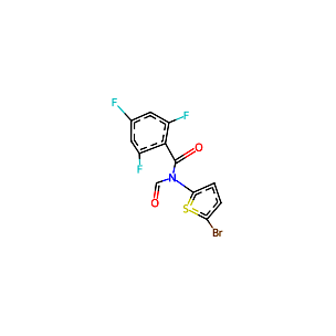 O=CN(C(=O)c1c(F)cc(F)cc1F)c1ccc(Br)s1